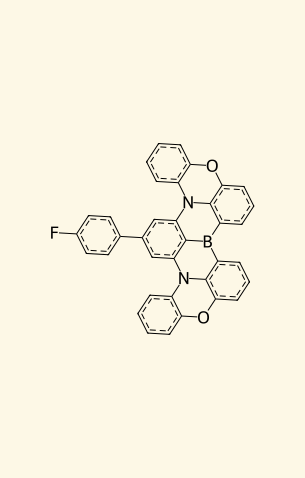 Fc1ccc(-c2cc3c4c(c2)N2c5ccccc5Oc5cccc(c52)B4c2cccc4c2N3c2ccccc2O4)cc1